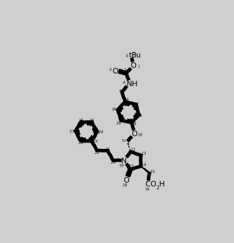 CC(C)(C)OC(=O)NCc1ccc(OC[C@@H]2C[C@@H](CC(=O)O)C(=O)N2CCCc2ccccc2)cc1